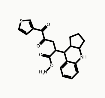 NOC(=O)C(CC(=O)C(=O)c1ccsc1)C1c2ccccc2NC2CCCC21